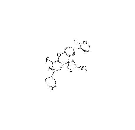 NC1=NC2(CO1)c1cc(-c3cccnc3F)ccc1Oc1c2cc(C2CCOCC2)nc1F